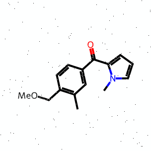 COCc1ccc(C(=O)c2cccn2C)cc1C